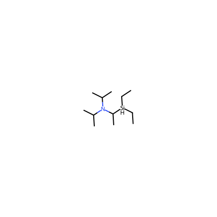 CC[SiH](CC)C(C)N(C(C)C)C(C)C